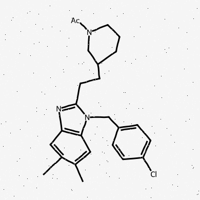 CC(=O)N1CCCC(CCc2nc3cc(C)c(C)cc3n2Cc2ccc(Cl)cc2)C1